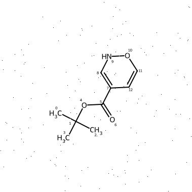 CC(C)(C)OC(=O)C1=CNOC=C1